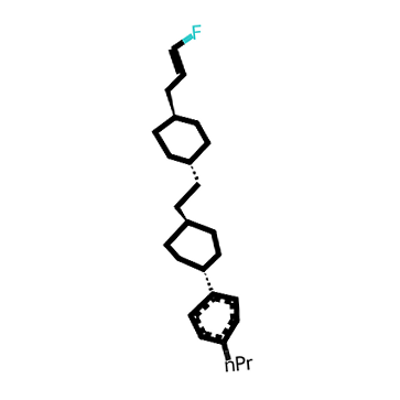 CCCc1ccc([C@H]2CC[C@H](CC[C@H]3CC[C@H](CC=CF)CC3)CC2)cc1